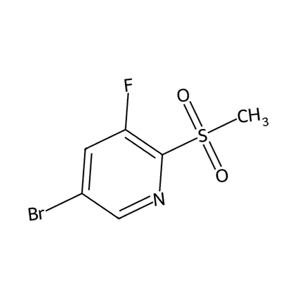 CS(=O)(=O)c1ncc(Br)cc1F